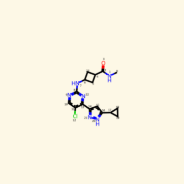 CNC(=O)C1CC(Nc2ncc(Cl)c(-c3cc(C4CC4)[nH]n3)n2)C1